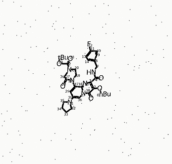 CCCCOc1c(C(=O)NCc2ccc(F)cc2)nc2c(N3CCN(C(=O)OC(C)(C)C)CC3=O)cc(N3CCCC3)cn2c1=O